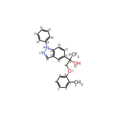 Cc1ccccc1OCC(O)(c1ccc2c(cnn2-c2ccccc2)c1)C(F)(F)F